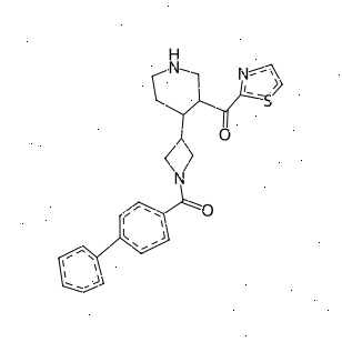 O=C(c1nccs1)C1CNCCC1C1CN(C(=O)c2ccc(-c3ccccc3)cc2)C1